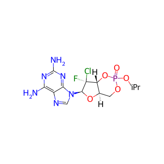 CC(C)OP1(=O)OC[C@H]2O[C@@H](n3cnc4c(N)nc(N)nc43)[C@@](F)(Cl)[C@@H]2O1